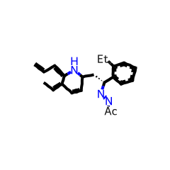 C=C/C=C1/NC(C[C@@H](N=NC(C)=O)c2ccccc2CC)C=C/C1=C/C